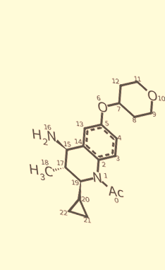 CC(=O)N1c2ccc(OC3CCOCC3)cc2[C@H](N)[C@@H](C)[C@@H]1C1CC1